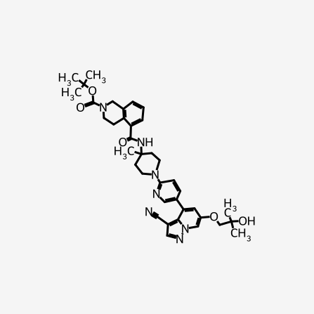 CC(C)(O)COc1cc(-c2ccc(N3CCC(C)(NC(=O)c4cccc5c4CCN(C(=O)OC(C)(C)C)C5)CC3)nc2)c2c(C#N)cnn2c1